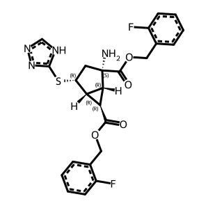 N[C@@]1(C(=O)OCc2ccccc2F)C[C@@H](Sc2nnc[nH]2)[C@H]2[C@H](C(=O)OCc3ccccc3F)[C@H]21